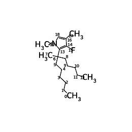 CCCCCCC(C)(CCCCC)c1c(F)c(C)cn1C